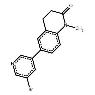 CN1C(=O)CCc2cc(-c3cncc(Br)c3)ccc21